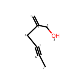 C=C(CO)CC#CC